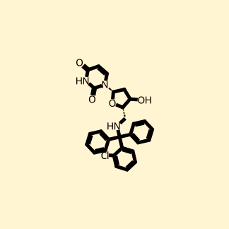 O=c1ccn([C@@H]2CC(O)[C@H](CNC(c3ccccc3)(c3ccccc3)c3ccccc3Cl)O2)c(=O)[nH]1